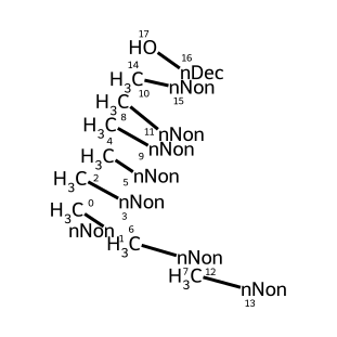 CCCCCCCCCC.CCCCCCCCCC.CCCCCCCCCC.CCCCCCCCCC.CCCCCCCCCC.CCCCCCCCCC.CCCCCCCCCC.CCCCCCCCCC.CCCCCCCCCCO